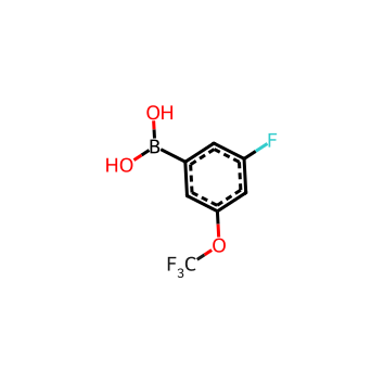 OB(O)c1cc(F)cc(OC(F)(F)F)c1